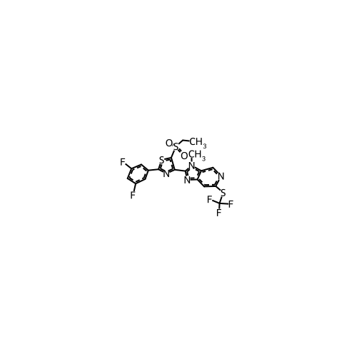 CCS(=O)(=O)c1sc(-c2cc(F)cc(F)c2)nc1-c1nc2cc(SC(F)(F)F)ncc2n1C